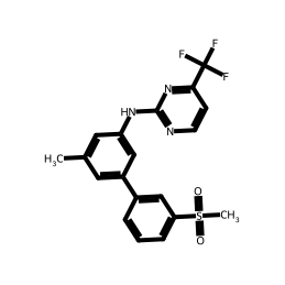 Cc1cc(Nc2nccc(C(F)(F)F)n2)cc(-c2cccc(S(C)(=O)=O)c2)c1